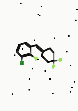 Fc1c(Cl)cccc1C=C1CCC(F)(F)CC1